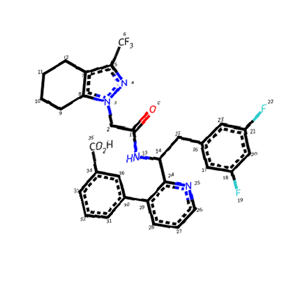 O=C(Cn1nc(C(F)(F)F)c2c1CCCC2)NC(Cc1cc(F)cc(F)c1)c1ncccc1-c1cccc(C(=O)O)c1